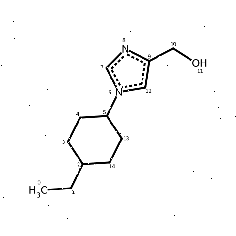 CCC1CCC(n2cnc(CO)c2)CC1